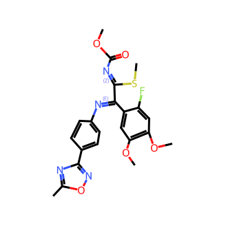 COC(=O)/N=C(SC)/C(=N/c1ccc(-c2noc(C)n2)cc1)c1cc(OC)c(OC)cc1F